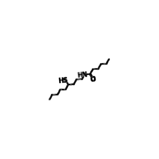 CCCCCC(=O)NCCCC(S)CCCCC